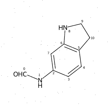 O=CNc1ccc2c(c1)NCC2